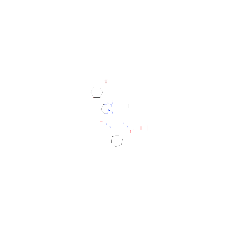 Cn1nc(C(=O)N(CCNC(=O)O)Cc2cccc(F)c2)c2c1-c1cc(Br)ccc1OC2